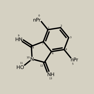 CCCc1ccc(CCC)c2c1C(=N)N(O)C2=N